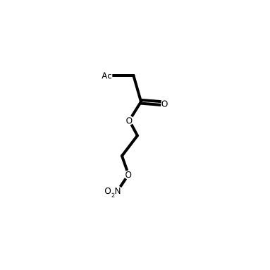 CC(=O)CC(=O)OCCO[N+](=O)[O-]